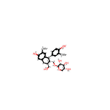 COc1cc([C@@H]2c3cc(OC)c(O)cc3C[C@H](CO)[C@H]2CO[C@@H]2OC[C@@H](O)[C@H](O)[C@H]2O)ccc1O